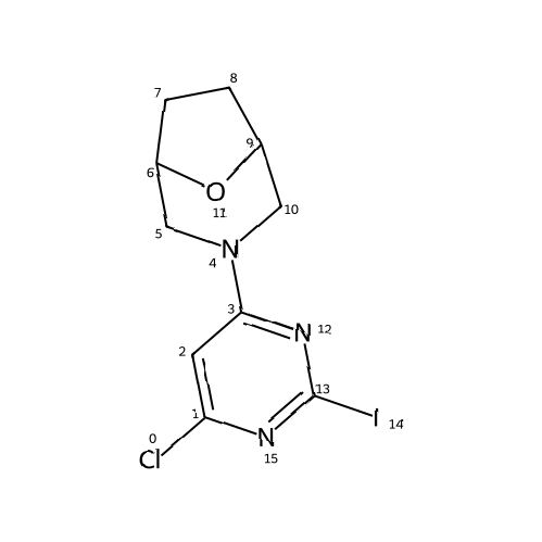 Clc1cc(N2CC3CCC(C2)O3)nc(I)n1